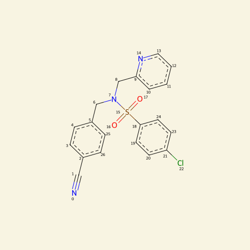 N#Cc1ccc(CN(Cc2ccccn2)S(=O)(=O)c2ccc(Cl)cc2)cc1